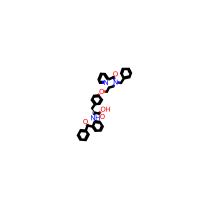 O=C(c1ccccc1)c1ccccc1N[C@@H](Cc1ccc(OCCCN(Cc2ccccc2)C(=O)c2ccccn2)cc1)C(=O)O